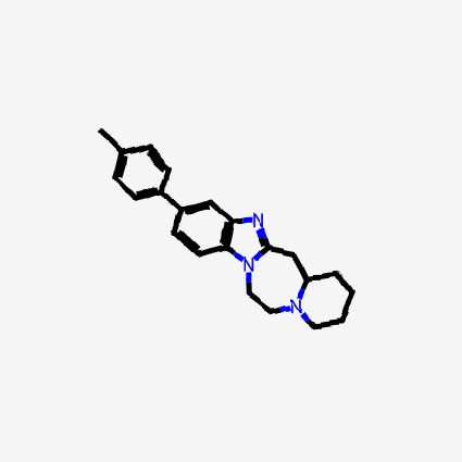 Cc1ccc(-c2ccc3c(c2)nc2n3CCN3CCCCC3C2)cc1